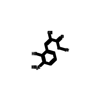 CC(C)OC(=O)C(C#N)=Cc1cccc(C(=O)O)c1O